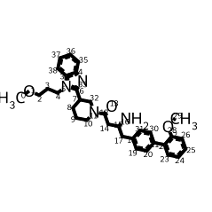 COCCCn1c(C2CCCN(C(=O)CC(N)Cc3ccc(-c4ccccc4OC)cc3)C2)nc2ccccc21